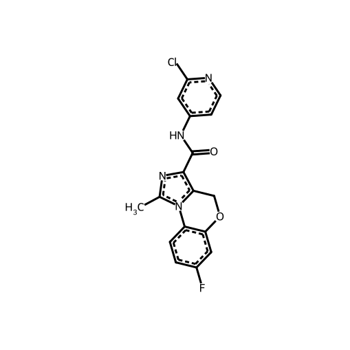 Cc1nc(C(=O)Nc2ccnc(Cl)c2)c2n1-c1ccc(F)cc1OC2